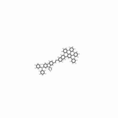 CCC1(CC)c2cc(/C=C/c3ccc4cc(-c5cc(-c6ccccc6)c(-c6ccccc6)c(-c6ccccc6)c5-c5ccccc5)ccc4c3)ccc2-c2ccc(N(c3ccccc3)c3ccccc3)cc21